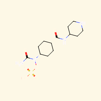 NC(=O)N(OS(=O)(=O)O)[C@H]1CC[C@H](C(=O)NC2CCNCC2)CC1